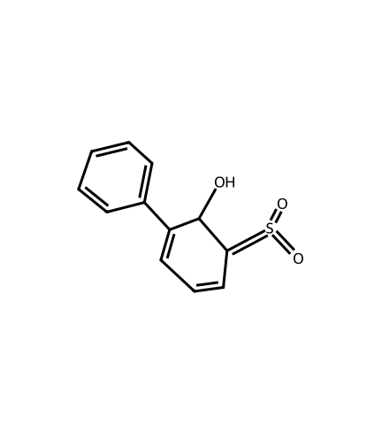 O=S(=O)=C1C=CC=C(c2ccccc2)C1O